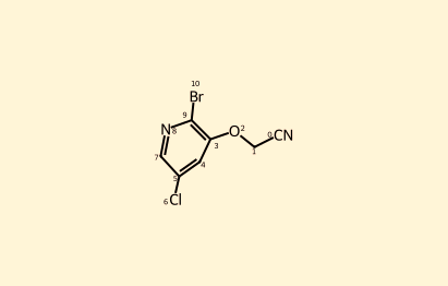 N#CCOc1cc(Cl)cnc1Br